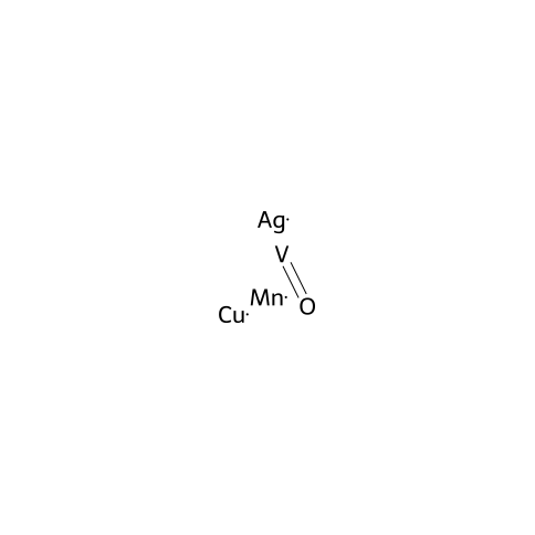 [Ag].[Cu].[Mn].[O]=[V]